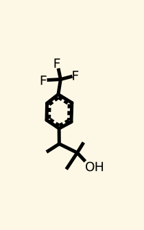 CC(c1ccc(C(F)(F)F)cc1)C(C)(C)O